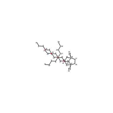 CCCCCCCC(CCCC)CCN1[C@@H]2CC[C@H]1CN(CC(CCCC)CCCC)C2